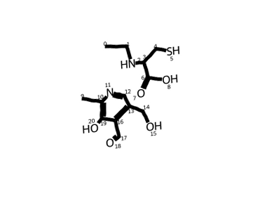 CCNC(CS)C(=O)O.Cc1ncc(CO)c(C=O)c1O